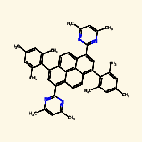 Cc1cc(C)c(-c2cc(-c3nc(C)cc(C)n3)c3ccc4c(-c5c(C)cc(C)cc5C)cc(-c5nc(C)cc(C)n5)c5ccc2c3c54)c(C)c1